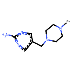 CCN1CCN(Cc2cnc(N)nc2)CC1